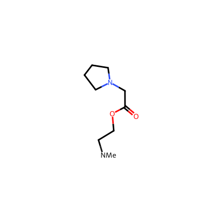 CNCCOC(=O)CN1CCCC1